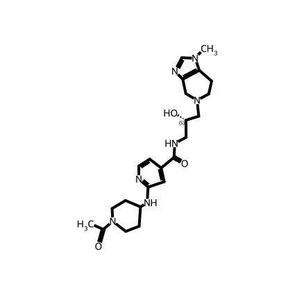 CC(=O)N1CCC(Nc2cc(C(=O)NC[C@H](O)CN3CCc4c(ncn4C)C3)ccn2)CC1